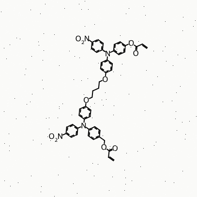 C=CC(=O)OCc1ccc(N(c2ccc(OCCCCOc3ccc(N(c4ccc(OC(=O)C=C)cc4)c4ccc([N+](=O)[O-])cc4)cc3)cc2)c2ccc([N+](=O)[O-])cc2)cc1